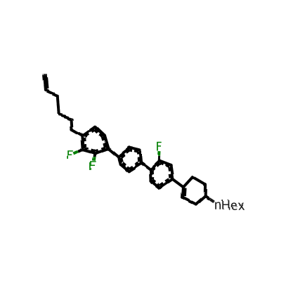 C=CCCCCc1ccc(-c2ccc(-c3ccc(C4=CCC(CCCCCC)CC4)cc3F)cc2)c(F)c1F